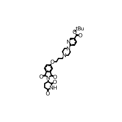 CC(C)(C)OC(=O)c1ccc(N2CCN(CCCOc3ccc4c(c3)C(=O)N(C3CCC(=O)NC3=O)C4=O)CC2)nc1